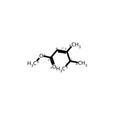 COC(=O)/C=C(/C)C(C)C